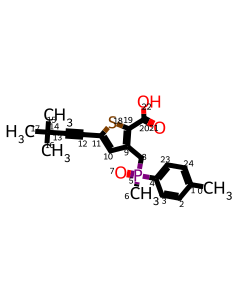 Cc1ccc(P(C)(=O)Cc2cc(C#CC(C)(C)C)sc2C(=O)O)cc1